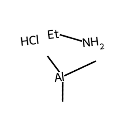 CCN.Cl.[CH3][Al]([CH3])[CH3]